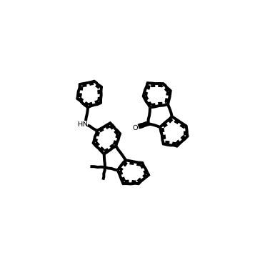 CC1(C)c2ccccc2-c2ccc(Nc3ccccc3)cc21.O=C1c2ccccc2-c2ccccc21